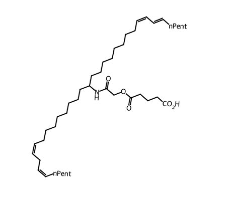 CCCCC/C=C\C/C=C\CCCCCCCCC(CCCCCCCC/C=C\C=C\CCCCC)NC(=O)COC(=O)CCCC(=O)O